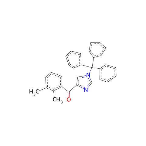 Cc1cccc(C(=O)c2cn(C(c3ccccc3)(c3ccccc3)c3ccccc3)cn2)c1C